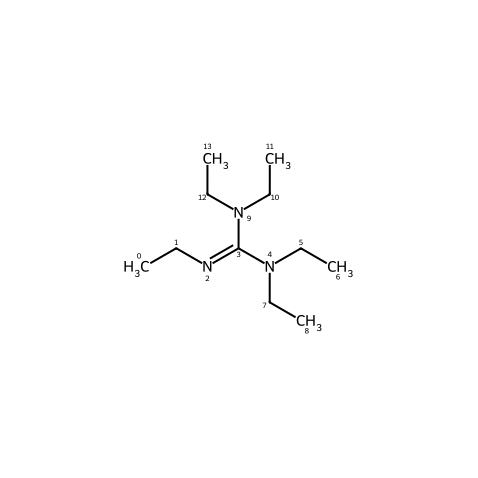 CCN=C(N(CC)CC)N(CC)CC